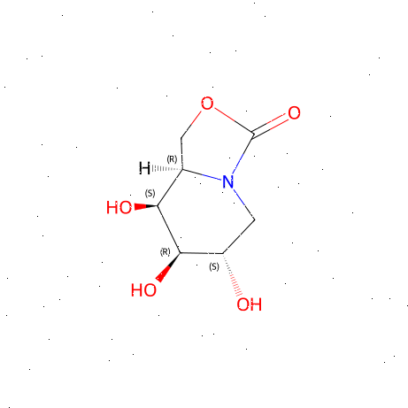 O=C1OC[C@@H]2[C@H](O)[C@H](O)[C@@H](O)CN12